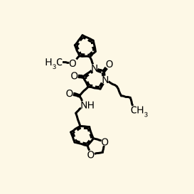 CCCCn1cc(C(=O)NCc2ccc3c(c2)OCO3)c(=O)n(-c2ccccc2OC)c1=O